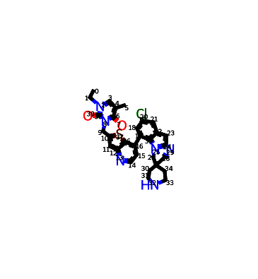 CCn1cc(C)c(=O)n(Cc2cc3nccc(-c4cc(Cl)cc5ccn(CC6(C#N)CCNCC6)c45)c3s2)c1=O